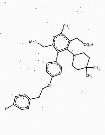 COCc1nc(C)c(CC(=O)O)c(N2CCC(C)(C)CC2)c1-c1ccc(OCCc2ccc(F)cc2)cc1